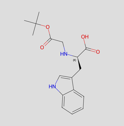 CC(C)(C)OC(=O)CN[C@H](Cc1c[nH]c2ccccc12)C(=O)O